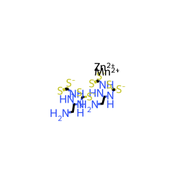 NCC(NNC(=S)[S-])NC(=S)[S-].NCC(NNC(=S)[S-])NC(=S)[S-].[Mn+2].[Zn+2]